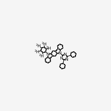 [2H]c1c([2H])c([2H])c(-n2c3ccccc3c3cc4c(cc32)c2ccccc2n4-c2nc(-c3ccccc3)nc(-c3ccccc3)n2)c([2H])c1[2H]